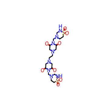 O=C1CN(CCN2CC(=O)N(CN3CCS(=O)(=O)NC3)C(=O)C2)CC(=O)N1CN1CCS(=O)(=O)NC1